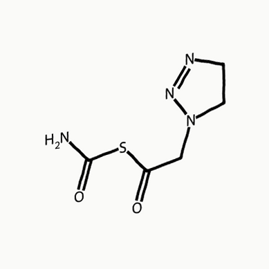 NC(=O)SC(=O)CN1CCN=N1